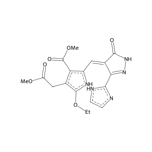 CCOc1[nH]c(/C=C2/C(=O)NN=C2c2ncc[nH]2)c(C(=O)OC)c1CC(=O)OC